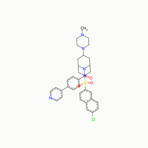 CN1CCN(C2CC3CN(S(=O)(=O)c4ccc5cc(Cl)ccc5c4)CC(C2)N3C(=O)c2ccc(-c3ccncc3)cc2)CC1